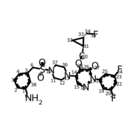 Nc1cccc(CS(=O)(=O)N2CCN(c3cnn(-c4cc(F)cc(F)c4)c(=O)c3OC[C@H]3C[C@@H]3CF)CC2)c1